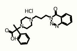 CC(C(=O)O)(c1ccccc1)N1CCN(CCCn2nnc3ccccc3c2=O)CC1.Cl